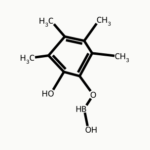 Cc1c(C)c(C)c(OBO)c(O)c1C